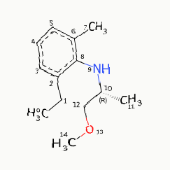 CCc1cccc(C)c1N[C@H](C)COC